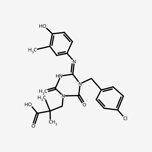 C=C1N/C(=N\c2ccc(O)c(C)c2)N(Cc2ccc(Cl)cc2)C(=O)N1CC(C)(C)C(=O)O